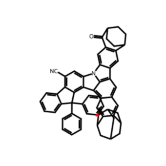 N#Cc1cc2c(c3c1-c1ccccc1C3(c1ccccc1)c1ccccc1)c1c3cc4c(cc3cc3c5cc6c(cc5n2c31)C(=O)C1CCC6CC1)C1CC2CC(C1)CC4C2